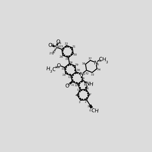 C#Cc1ccc2c(c1)[nH]c1c2c(=O)c2cc(OC)c(-c3cccc(S(=O)(=O)F)c3)cc2n1C1CCN(C)CC1